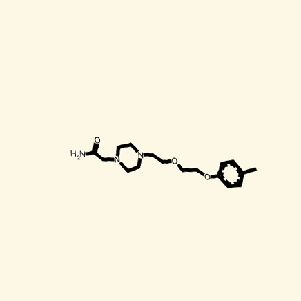 Cc1ccc(OCCOCCN2CCN(CC(N)=O)CC2)cc1